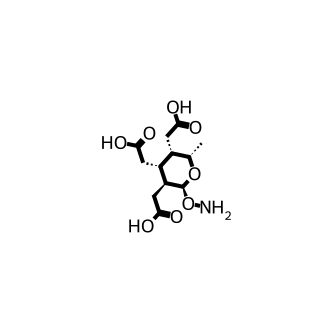 C[C@@H]1O[C@@H](ON)[C@@H](CC(=O)O)[C@H](CC(=O)O)[C@@H]1CC(=O)O